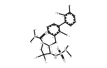 Cc1cccc(-c2cccc(C[C@H]3[C@@H](NS(=O)(=O)N(C)C)C(F)(F)CN3C(=O)N(C)C)c2F)c1F